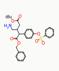 CC(C)(C)OC(=O)CC(CN)C(C(=O)OCc1ccccc1)c1ccc(OS(=O)(=O)c2ccccc2)cc1